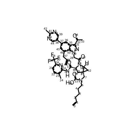 C=CCCCCN(C[C@@]12C[C@@H](C(=O)Nc3nc(C(F)(F)F)ccc3C)N(C(=O)Cn3nc(C(C)=O)c4cc(-c5cnc(C)nc5)cc(CC=C)c43)[C@@H]1C2)C(=O)O